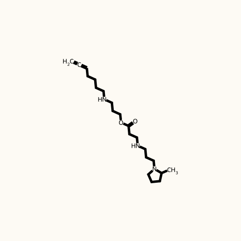 C=C=CCCCCNCCCOC(=O)CCNCCCN1CCCC1C